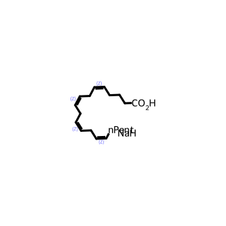 CCCCC/C=C\C/C=C\C/C=C\C/C=C\CCCC(=O)O.[NaH]